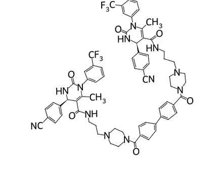 CC1=C(C(=O)NCCCN2CCN(C(=O)c3ccc(-c4ccc(C(=O)N5CCN(CCCNC(=O)C6=C(C)N(c7cccc(C(F)(F)F)c7)C(=O)N[C@@H]6c6ccc(C#N)cc6)CC5)cc4)cc3)CC2)[C@@H](c2ccc(C#N)cc2)NC(=O)N1c1cccc(C(F)(F)F)c1